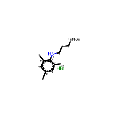 Br.CCCCCCCCCCCCNc1c(C)cc(C)cc1C